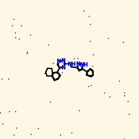 c1ccc(-c2cc(CNc3nncc(-c4cccc5c4CCCC5)n3)n[nH]2)cc1